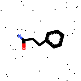 [N]C(=O)CCc1ccccc1